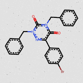 O=c1c(-c2ccc(Br)cc2)nn(Cc2ccccc2)c(=O)n1Cc1ccccc1